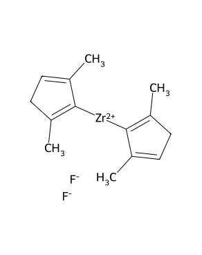 CC1=CCC(C)=[C]1[Zr+2][C]1=C(C)CC=C1C.[F-].[F-]